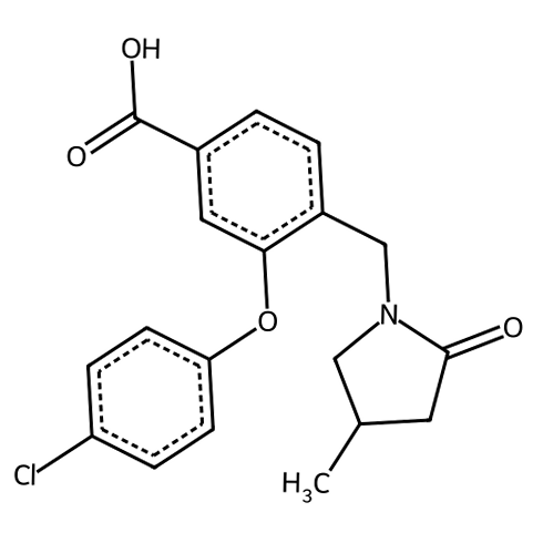 CC1CC(=O)N(Cc2ccc(C(=O)O)cc2Oc2ccc(Cl)cc2)C1